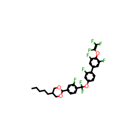 CCCCCC1COC(c2ccc(C(F)(F)Oc3ccc(-c4cc(F)c(OC(F)=C(F)F)c(F)c4)c(F)c3)c(F)c2)OC1